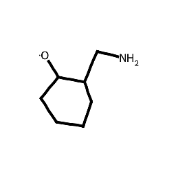 NCC1CCCCC1[O]